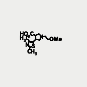 COCCN1CC(C(=O)O)C(c2sc(C)nc2C)C1